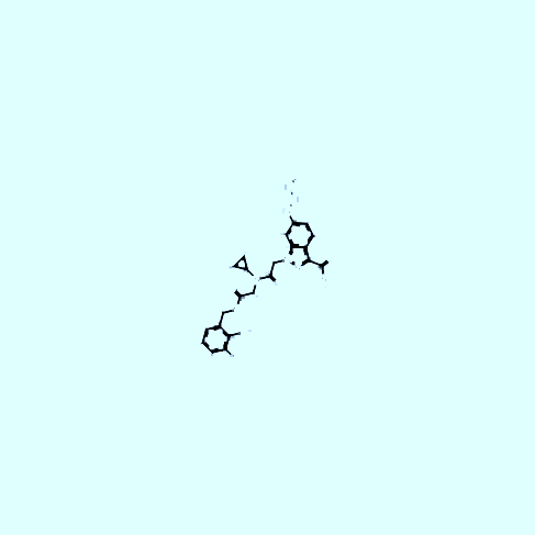 BBBNc1ccc2c(C(N)=O)nn(CC(=O)N(CC(=O)NCc3cccc(Cl)c3F)C3CC3)c2c1